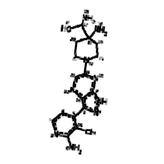 Nc1nccc(-c2n[nH]c3nc(N4CCC(N)(C(N)O)CC4)cnc23)c1Cl